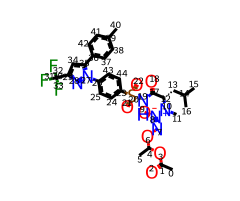 CC(=O)OC(C)ON=[N+]([O-])N(C)[C@@H](CC(C)C)C(=O)NS(=O)(=O)c1ccc(-n2nc(C(F)(F)F)cc2-c2ccc(C)cc2)cc1